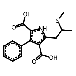 CSC(C)Cc1[nH]c(C(=O)O)c(-c2ccccc2)c1C(=O)O